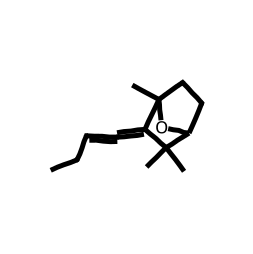 CCC=C=C1C2(C)CCC(O2)C1(C)C